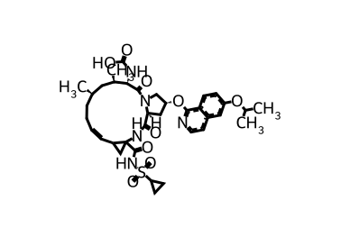 CC(C)Oc1ccc2c(O[C@@H]3C[C@H]4C(=O)NC5(C(=O)NS(=O)(=O)C6CC6)CC5/C=C\CC[C@@H](C)C[C@@H](C)[C@H](NC(=O)O)C(=O)N4C3)nccc2c1